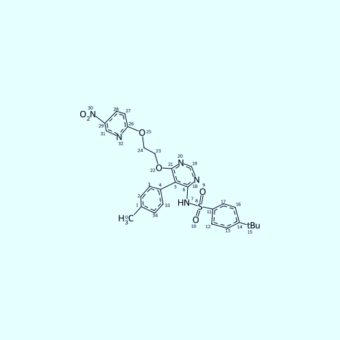 Cc1ccc(-c2c(NS(=O)(=O)c3ccc(C(C)(C)C)cc3)ncnc2OCCOc2ccc([N+](=O)[O-])cn2)cc1